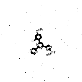 CCCNc1ncc(-c2cc(-c3ccc(OCCC)cc3Cl)nc(-c3cnccn3)n2)s1